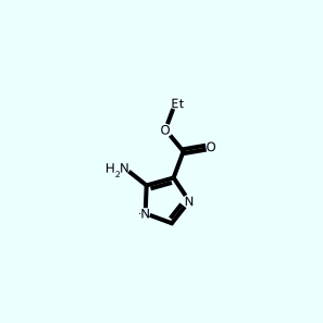 CCOC(=O)C1=C(N)[N]C=N1